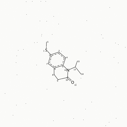 CSc1ccc2c(c1)CCC(=O)N2C(C)C